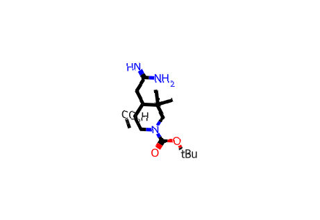 CC(=O)O.CC(C)(C)OC(=O)N1CCC(CC(=N)N)C(C)(C)C1